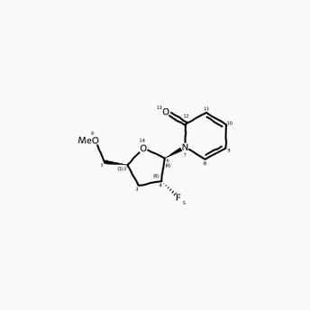 COC[C@@H]1C[C@@H](F)[C@H](n2ccccc2=O)O1